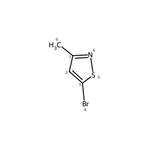 Cc1cc(Br)sn1